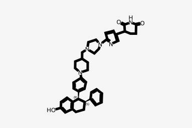 O=C1CCC(c2ccc(N3CCN(CC4CCN(c5ccc([C@@H]6c7ccc(O)cc7CC[C@@H]6c6ccccc6)cc5)CC4)CC3)nc2)C(=O)N1